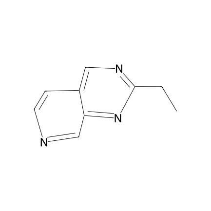 CCc1ncc2ccncc2n1